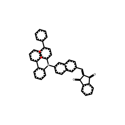 O=C1C(=Cc2ccc3cc(N(c4ccc(-c5ccccc5)cc4)c4ccccc4-c4ccccc4)ccc3c2)C(=O)c2ccccc21